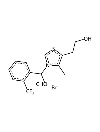 Cc1c(CCO)sc[n+]1C(C=O)c1ccccc1C(F)(F)F.[Br-]